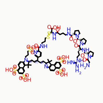 CC1(C)C(/C=C/C(=C/C=C2/N(CCCS(=O)(=O)O)c3ccc4c(S(=O)(=O)O)cc(S(=O)(=O)O)cc4c3C2(C)C)c2ccc(C(=O)NCCCSS[C@H](NC(=O)CCCNC(=O)[C@@H]3CCCN3C(=O)[C@@H]3CCCN3C(=O)[C@H](CCCNC(=N)N)NC(=O)[C@@H]3CCCN3C(=O)CN)C(=O)O)nc2)=Nc2ccc3c(S(=O)(=O)O)cc(S(=O)(=O)O)cc3c21